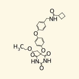 CCOCCC1(Oc2ccc(Oc3ccc(CNC(=O)C4CCC4)cc3)cc2)C(=O)NC(=O)NC1=O